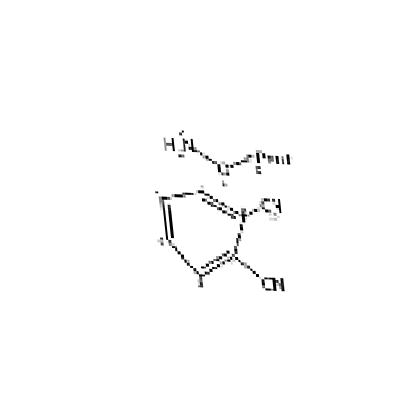 CCCCCON.N#Cc1ccccc1C#N